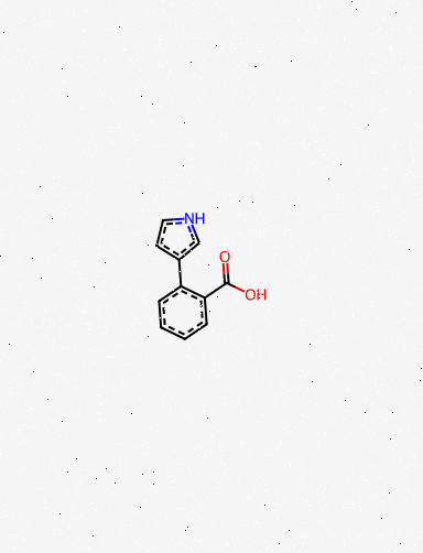 O=C(O)c1ccccc1-c1cc[nH]c1